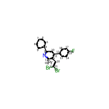 CC(C)c1nc(-c2ccccc2)cc(-c2ccc(F)cc2)c1C=C(Br)Br